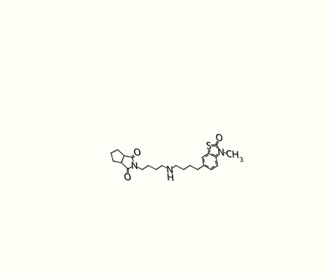 Cn1c(=O)sc2cc(CCCCNCCCCN3C(=O)C4CCCC4C3=O)ccc21